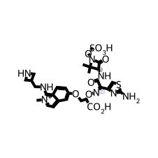 C[n+]1ccc2cc(OCC(O/N=C(\C(=O)N[C@@H]3C(=O)N(OS(=O)(=O)O)C3(C)C)c3csc(N)n3)C(=O)O)ccc2c1NCC1CNC1